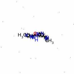 CN1CCC(n2cc(C(=O)Nc3cc4cc(-c5cnn(C)c5)cnc4cn3)nn2)CC1